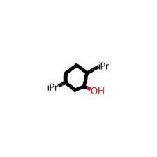 CC(C)C1CCC(C(C)C)C(O)C1